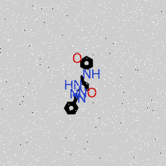 COc1cccc(NCc2cc(=O)n3nc(-c4ccccc4)nc3[nH]2)c1